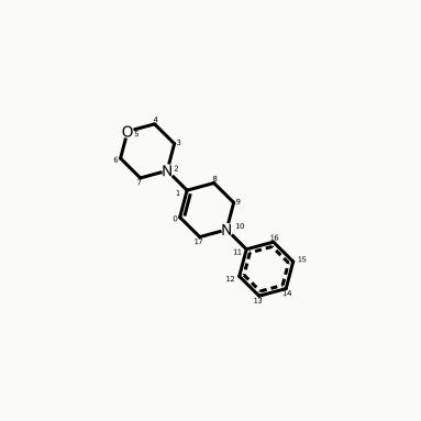 C1=C(N2CCOCC2)CCN(c2ccccc2)C1